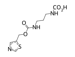 O=C(O)NCCCNC(=O)OCc1cncs1